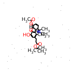 CC(=O)O[C@H]1C=CC2[C@@H](C)N(C)CC[C@@]23c2c(C)c(CCC(=O)OC(C)(C)C)cc(O)c2O[C@@H]13